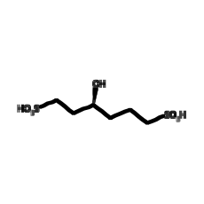 O=S(=O)(O)CCC[C@H](O)CCS(=O)(=O)O